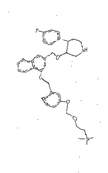 C[Si](C)(C)CCOCOc1cccc(COc2cc(COC3CNCCC3c3ccc(F)cc3)cc3ccccc23)c1